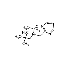 CC(C)N(Cc1ncccn1)CC(C)(C)C